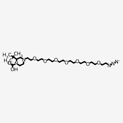 CC(C)(C)C1CN(CCOCCOCCOCCOCCOCCOCCOCCN=[N+]=[N-])CCN1C(=O)O